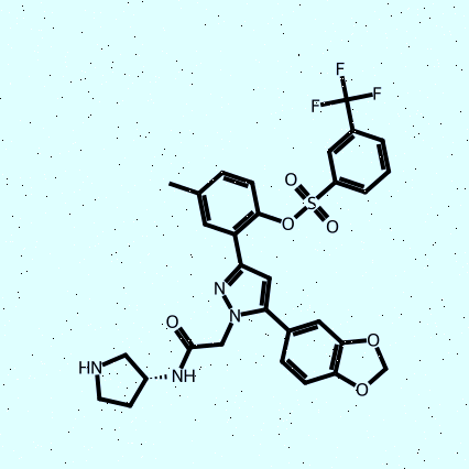 Cc1ccc(OS(=O)(=O)c2cccc(C(F)(F)F)c2)c(-c2cc(-c3ccc4c(c3)OCO4)n(CC(=O)N[C@@H]3CCNC3)n2)c1